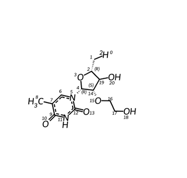 [2H]C[C@H]1O[C@@H](n2cc(C)c(=O)[nH]c2=O)[C@@H](OCCO)C1O